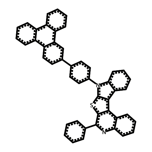 c1ccc(-c2nc3ccccc3c3c2sc2c3c3ccccc3n2-c2ccc(-c3ccc4c5ccccc5c5ccccc5c4c3)cc2)cc1